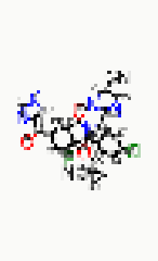 Cn1cnc(C(=O)c2cc(F)c3c(c2)C(=O)N(Cc2ncc(C#N)cn2)[C@@]3(OCC2(C#N)CC2)c2ccc(Cl)cc2)c1